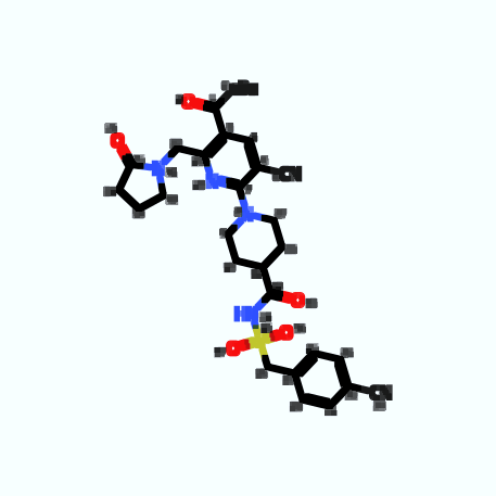 CCCCC(=O)c1cc(C#N)c(N2CCC(C(=O)NS(=O)(=O)Cc3ccc(C#N)cc3)CC2)nc1CN1CCCC1=O